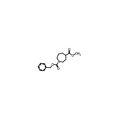 COC(=O)C1CCCN(C(=O)OCc2ccccc2)CC1